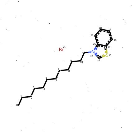 CCCCCCCCCCCC[n+]1csc2ccccc21.[Br-]